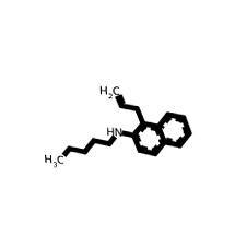 C=CCc1c(NCCCCC)ccc2ccccc12